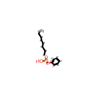 CC(C)CCCCCCCOP(O)Oc1ccccc1